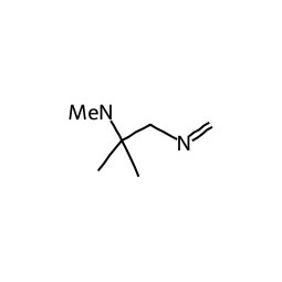 C=NCC(C)(C)NC